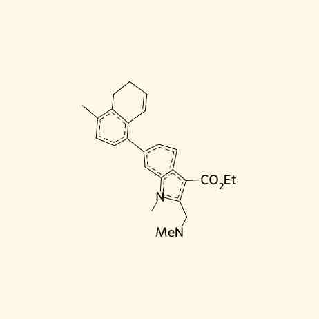 CCOC(=O)c1c(CNC)n(C)c2cc(-c3ccc(C)c4c3C=CCC4)ccc12